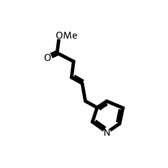 COC(=O)CC=CCc1cccnc1